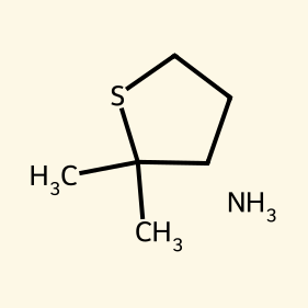 CC1(C)CCCS1.N